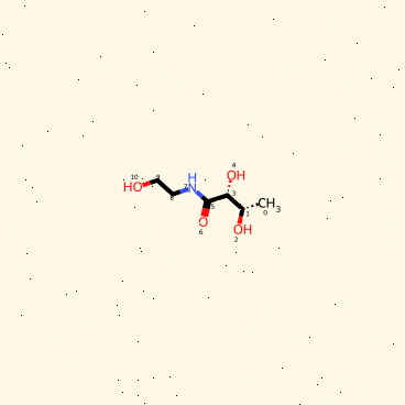 C[C@H](O)[C@@H](O)C(=O)NCCO